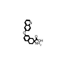 NC1(C(=O)O)CCc2ccc(Oc3ccc4ncccc4c3)cc2C1